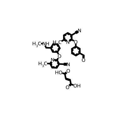 CNCc1cccc(Oc2nc(C)ccc2C#N)c1.Cc1ccc(C#N)c(Oc2cccc(C=O)c2)n1.O=C(O)C=CC(=O)O